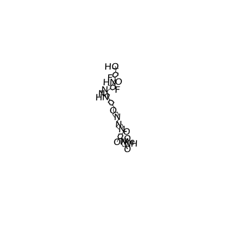 COc1ccc(C(=O)N2CCN(CCN3CCC(OCc4ccc(-c5cc6c(-c7cc(F)cc(NC(=O)c8ccc(C(C)(C)O)cc8F)c7C)ncnc6[nH]5)cc4)CC3)CC2)cc1N1CCC(=O)NC1=O